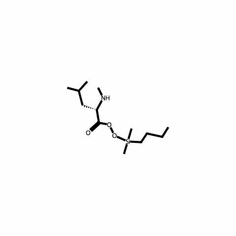 CCCC[Si](C)(C)OOC(=O)[C@H](CC(C)C)NC